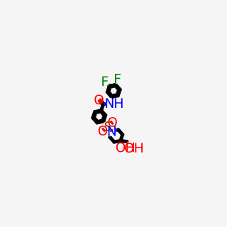 O=C(Nc1ccc(F)c(F)c1)c1cccc(S(=O)(=O)N2CCC(O)(CO)CC2)c1